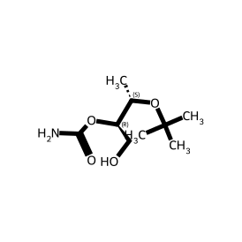 C[C@H](OC(C)(C)C)[C@@H](CO)OC(N)=O